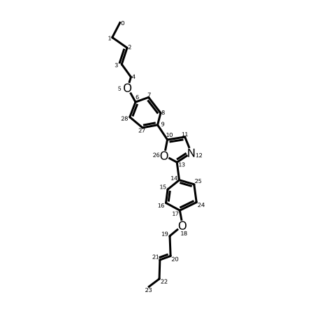 CCC=CCOc1ccc(-c2cnc(-c3ccc(OCC=CCC)cc3)o2)cc1